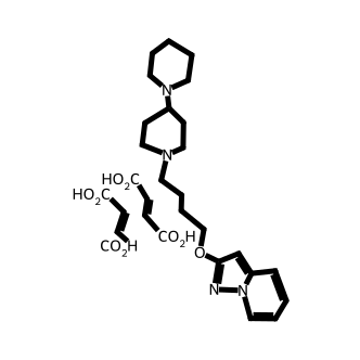 O=C(O)/C=C/C(=O)O.O=C(O)/C=C/C(=O)O.c1ccn2nc(OCCCCN3CCC(N4CCCCC4)CC3)cc2c1